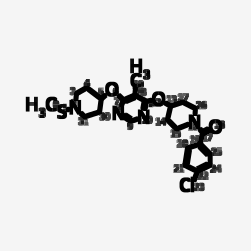 CSN1CCC(Oc2ncnc(OC3CCN(C(=O)c4ccc(Cl)cc4)CC3)c2C)CC1